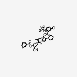 Cc1cn2nc([C@@H]3CCCCN3C(=O)c3cc(Cl)ccc3NS(C)(=O)=O)cc2nc1N1C[C@@H](C#N)[C@@H](OC(=O)c2cccnc2)C1